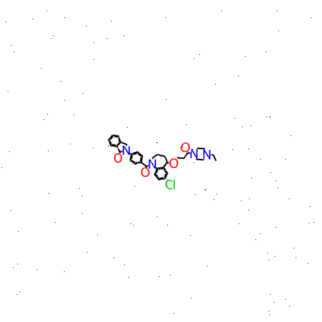 CCN1CCN(C(=O)CCOC2CCCN(C(=O)c3ccc(N4Cc5ccccc5C4=O)cc3)c3ccc(Cl)cc32)CC1